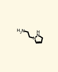 NCCN1C=CCN1